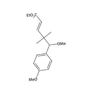 CCOC(=O)/C=C/C(C)(C)C(OC)c1ccc(OC)cc1